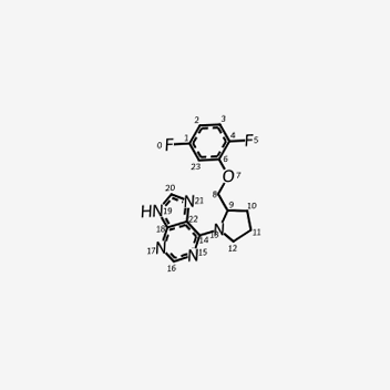 Fc1ccc(F)c(OCC2CCCN2c2ncnc3[nH]cnc23)c1